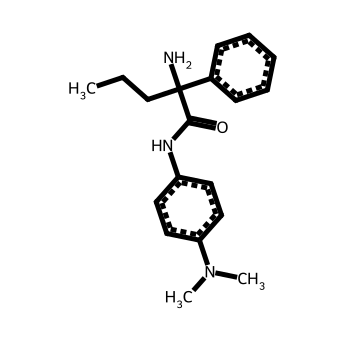 CCCC(N)(C(=O)Nc1ccc(N(C)C)cc1)c1ccccc1